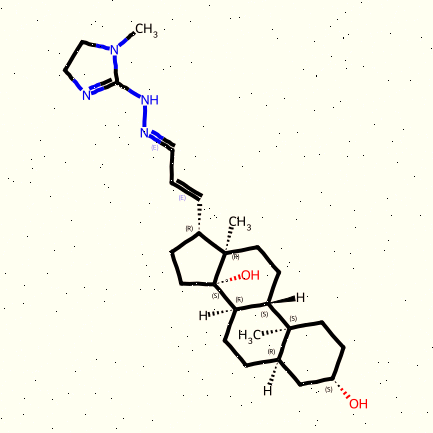 CN1CCN=C1N/N=C/C=C/[C@H]1CC[C@]2(O)[C@@H]3CC[C@@H]4C[C@@H](O)CC[C@]4(C)[C@H]3CC[C@]12C